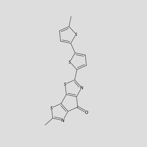 Cc1ccc(-c2ccc(-c3nc4c(s3)-c3sc(C)nc3C4=O)s2)s1